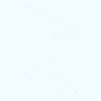 Cc1ccc([C@H](CC(=O)O)c2ccc3c(nnn3C)c2C)cc1CN1Cc2cc(C#N)ccc2OC(C)(C)C1